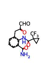 NC(=O)c1cccc(CC(=O)C=O)c1NC(=O)C1(C(F)(F)F)CC1